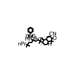 CCCC(C)(C)CC[C@@](C)(CCC(C)(C)[C@]1(C)CC[C@H]2C(C)(C)C(=O)C(C#N)=C[C@]2(C)/C1=C/C(C)=O)NS(=O)(=O)c1ccccc1